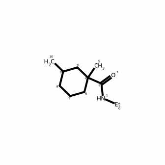 CCNC(=O)C1(C)CCCC(C)C1